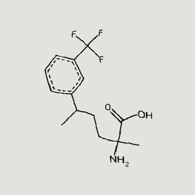 CC(CCC(C)(N)C(=O)O)c1cccc(C(F)(F)F)c1